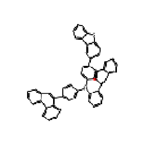 c1ccc(N(c2ccc(-c3ccc4sc5ccccc5c4c3)cc2)c2ccc(-c3cc4ccccc4c4ccccc34)cc2)c(-c2ccc3ccccc3c2)c1